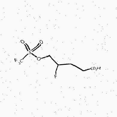 O=C(O)CCC(F)COS(=O)(=O)C(F)(F)F